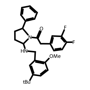 COc1ccc(C(C)(C)C)cc1CNC1CCC(c2ccccc2)N1C(=O)Cc1ccc(F)c(F)c1